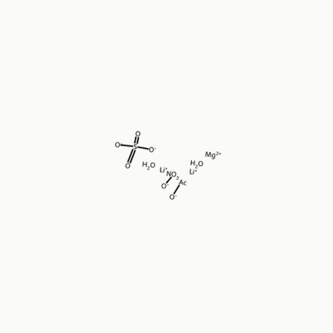 CC(=O)[O-].O.O.O=S(=O)([O-])[O-].O=[N+]([O-])[O-].[Li+].[Li+].[Mg+2]